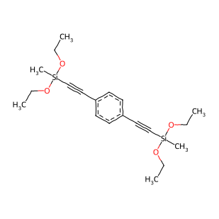 CCO[Si](C)(C#Cc1ccc(C#C[Si](C)(OCC)OCC)cc1)OCC